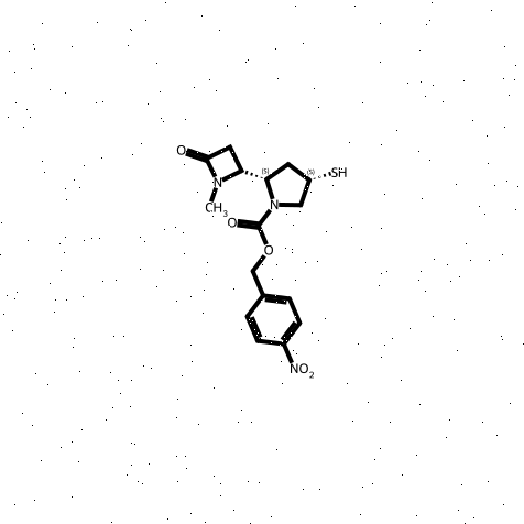 CN1C(=O)CC1[C@@H]1C[C@H](S)CN1C(=O)OCc1ccc([N+](=O)[O-])cc1